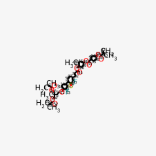 C=C(C)C(=O)OCC(C)(CCOc1ccc2c(sc3c(F)c(/C=C/C(=O)Oc4ccc(OC(=O)c5ccc(OC(=O)C(=C)C)cc5)cc4C)ccc32)c1F)COC(=O)C(=C)C